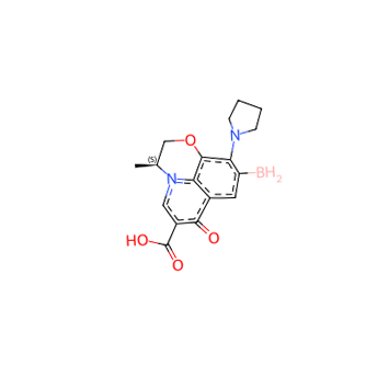 Bc1cc2c(=O)c(C(=O)O)cn3c2c(c1N1CCCC1)OC[C@@H]3C